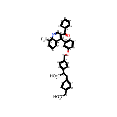 O=C(O)Cc1ccc(CC(C(=O)O)c2ccc(COc3cccc(-c4c(C(=O)c5ccccc5)cnc5c(C(F)(F)F)cccc45)c3)cc2)cc1